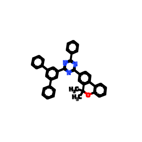 CC1(C)Oc2ccccc2-c2ccc(-c3nc(-c4ccccc4)nc(-c4cc(-c5ccccc5)cc(-c5ccccc5)c4)n3)cc21